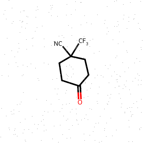 N#CC1(C(F)(F)F)CCC(=O)CC1